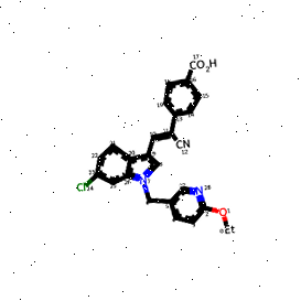 CCOc1ccc(Cn2cc(/C=C(\C#N)c3ccc(C(=O)O)cc3)c3ccc(Cl)cc32)cn1